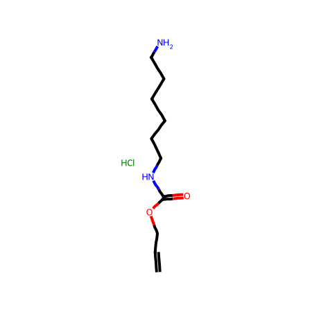 C=CCOC(=O)NCCCCCCN.Cl